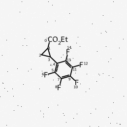 CCOC(=O)C1CC1c1c(F)c(F)c(F)c(F)c1F